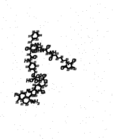 CC[C@@]1(OP(=O)(O)OCc2ccc(NC(=O)CNC(=O)[C@H](Cc3ccccc3)NC(=O)CNC(=O)CNC(=O)CCCCCN3C(=O)CC(C)C3=O)cc2)C(=O)OCc2c1cc1n(c2=O)Cc2c-1nc1cc(F)c(C)c3c1c2[C@@H](N)CC3